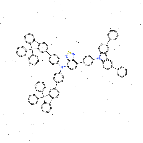 c1ccc(-c2ccc3c(c2)c2cc(-c4ccccc4)ccc2n3-c2ccc(-c3ccc(N(c4ccc(-c5ccc6c(c5)C(c5ccccc5)(c5ccccc5)c5ccccc5-6)cc4)c4ccc(-c5ccc6c(c5)C(c5ccccc5)(c5ccccc5)c5ccccc5-6)cc4)c4nsnc34)cc2)cc1